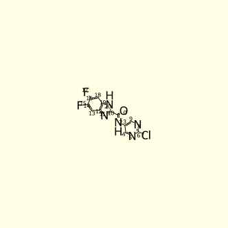 O=C(Nc1cnc(Cl)nc1)c1nc2cc(F)c(F)cc2[nH]1